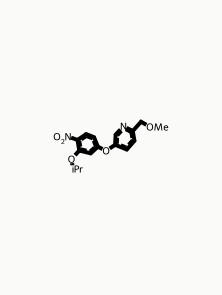 COCc1ccc(Oc2ccc([N+](=O)[O-])c(OC(C)C)c2)cn1